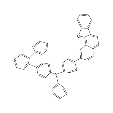 c1ccc(-c2ccccc2-c2ccc(N(c3ccccc3)c3ccc(-c4ccc5ccc6c7ccccc7oc6c5c4)cc3)cc2)cc1